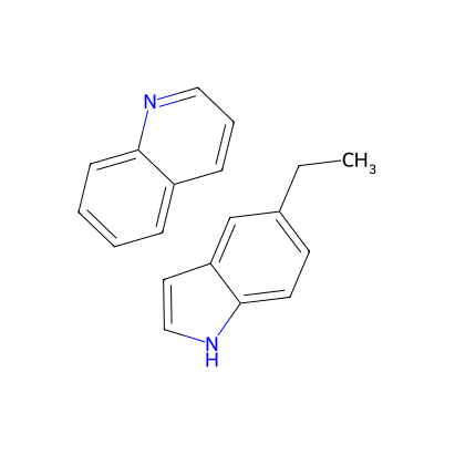 CCc1ccc2[nH]ccc2c1.c1ccc2ncccc2c1